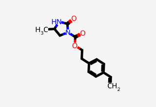 C=Cc1ccc(CCOC(=O)N2CC(C)NC2=O)cc1